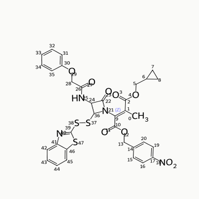 C/C(C(=O)OCC1CC1)=C(\C(=O)OCc1ccc([N+](=O)[O-])cc1)N1C(=O)C(NC(=O)COc2ccccc2)C1SSc1nc2ccccc2s1